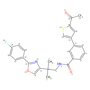 CC(C)(CNC(=O)c1cccc(-c2csc(C(=O)C(F)(F)F)c2)c1)c1coc(-c2ccc(F)cc2)n1